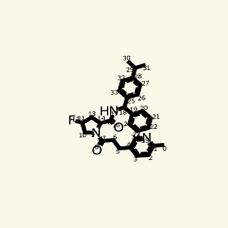 Cc1ccc(CCC(=O)N2CC(F)CC2C(=O)NC(c2ccccc2)c2ccc(C(C)C)cc2)cn1